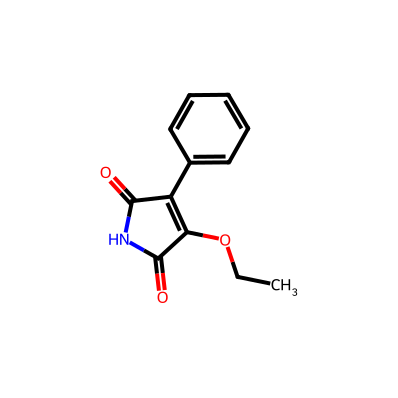 CCOC1=C(c2ccccc2)C(=O)NC1=O